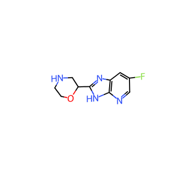 Fc1cnc2[nH]c(C3CNCCO3)nc2c1